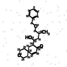 CC(COCc1ccccc1)CC(O)C1CC2(C=CC1=O)CCOCC2